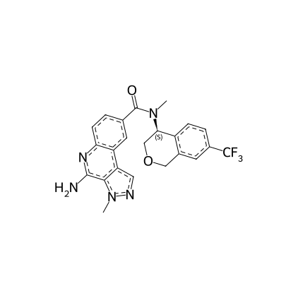 CN(C(=O)c1ccc2nc(N)c3c(cnn3C)c2c1)[C@@H]1COCc2cc(C(F)(F)F)ccc21